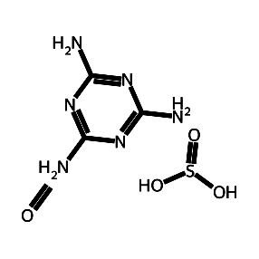 C=O.Nc1nc(N)nc(N)n1.O=S(O)O